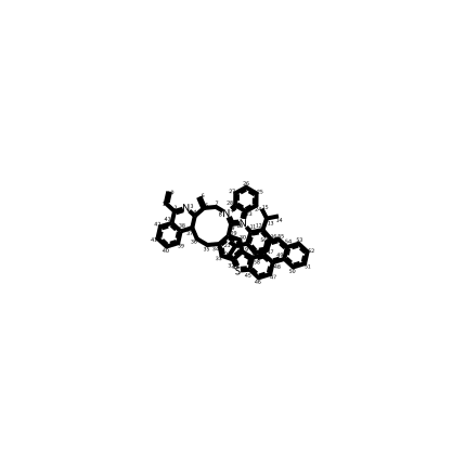 C=CC1=NC2C(=C)C[n+]3c(n(-c4c(C(C)C)cccc4C(C)C)c4ccccc43)-c3cc4c(cc3CCC2c2ccccc21)sc1ccc2c3ccccc3ccc2c14